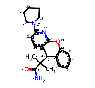 CC(C)(C(N)=O)[C@@H]1c2ccccc2Oc2nc(N3CCCCC3)ccc21